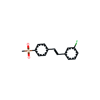 CS(=O)(=O)c1ccc(/C=C/c2cccc(F)c2)cc1